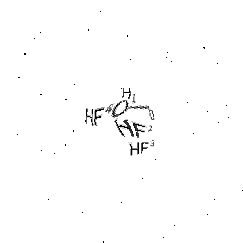 CO.F.F.F